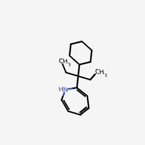 CCC(CC)(C1=CC=CC=CN1)C1CCCCC1